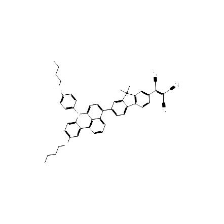 CCCCOc1ccc(N2c3ccc(OCCCC)cc3-c3cccc4c(-c5ccc6c(c5)C(C)(C)c5cc(C(C#N)=C(C#N)C#N)ccc5-6)ccc2c34)cc1